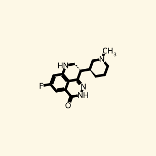 CN1CCC[C@@H]([C@H]2CNc3cc(F)cc4c(=O)[nH]nc2c34)C1